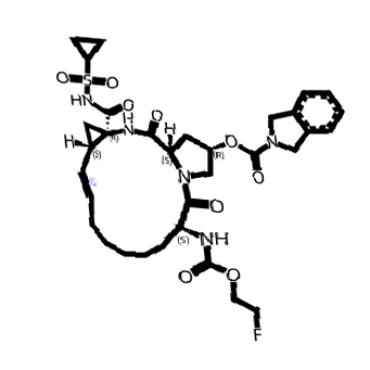 O=C(N[C@H]1CCCCC/C=C/[C@@H]2C[C@@]2(C(=O)NS(=O)(=O)C2CC2)NC(=O)[C@@H]2C[C@@H](OC(=O)N3Cc4ccccc4C3)CN2C1=O)OCCF